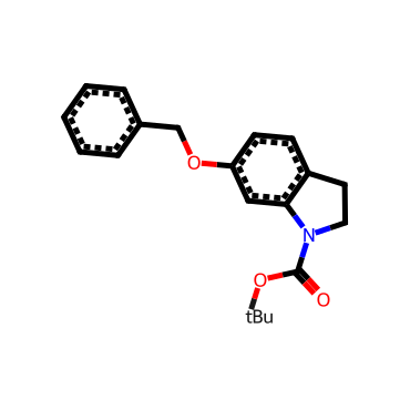 CC(C)(C)OC(=O)N1CCc2ccc(OCc3ccccc3)cc21